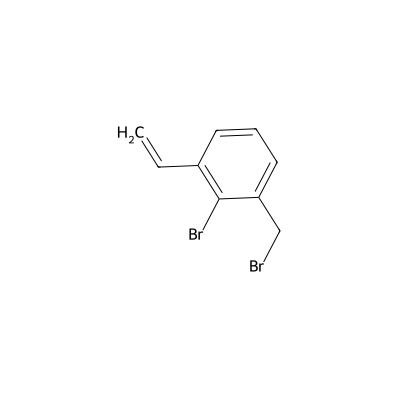 C=Cc1cccc(CBr)c1Br